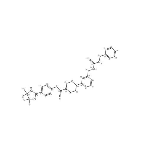 CC1(C)OB(c2ccc(CC(=O)N3CCC(c4cccc(CNC(=O)OCc5ccccc5)c4)CC3)cc2)OC1(C)C